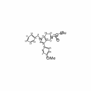 COc1ccc(-c2cn(Cc3ccccc3)c3c2CN(C(=O)OC(C)(C)C)CC3)cc1